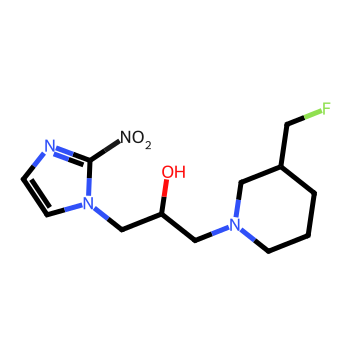 O=[N+]([O-])c1nccn1CC(O)CN1CCCC(CF)C1